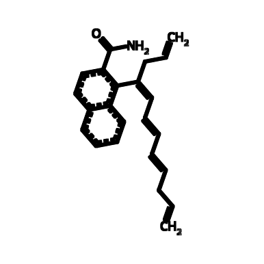 C=CC/C=C/C=C/C=C(/CC=C)c1c(C(N)=O)ccc2ccccc12